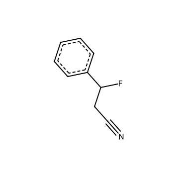 N#CCC(F)c1ccccc1